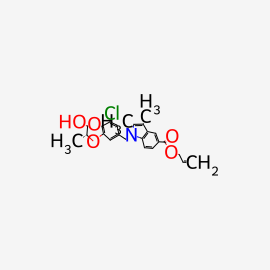 C=CCOC(=O)c1ccc2c(c1)c(C)c(C)n2Cc1cc(Cl)cc(O[C@H](C)C(=O)O)c1